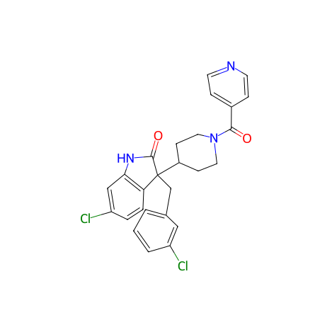 O=C(c1ccncc1)N1CCC(C2(Cc3cccc(Cl)c3)C(=O)Nc3cc(Cl)ccc32)CC1